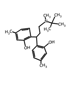 Cc1ccc(C(CCN(C)C(C)(C)C)c2ccc(C)cc2O)c(O)c1